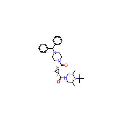 CC1CN(C(=O)[C@H]2C[C@@H]2C(=O)N2CCN(C(c3ccccc3)c3ccccc3)CC2)CC(C)N1C(C)(C)C